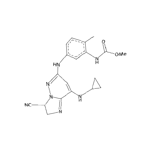 COC(=O)Nc1cc(NC2=NN3C(=NCC3C#N)C(NC3CC3)=C2)ccc1C